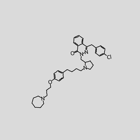 O=c1c2ccccc2c(Cc2ccc(Cl)cc2)nn1CC1CCCN1CCCCc1ccc(OCCCN2CCCCCC2)cc1